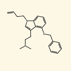 C=CCCn1cc(CCN(C)C)c2c(OCc3ccccc3)cccc21